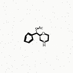 CC(=O)S[C@@H](c1ccccc1)[C@@H]1CNCCO1